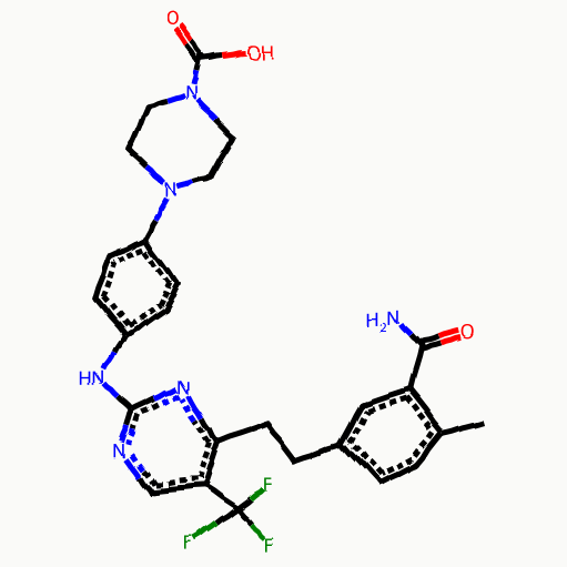 Cc1ccc(CCc2nc(Nc3ccc(N4CCN(C(=O)O)CC4)cc3)ncc2C(F)(F)F)cc1C(N)=O